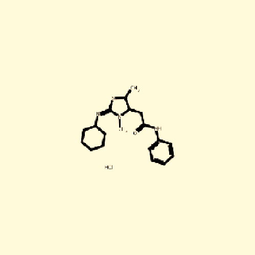 CC1SC(=NC2CCCCC2)N(C)C1CC(=O)Nc1ccccc1.Cl